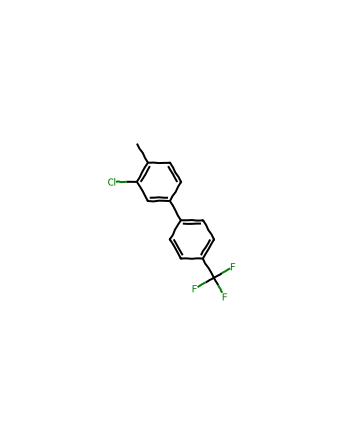 Cc1ccc(-c2ccc(C(F)(F)F)cc2)cc1Cl